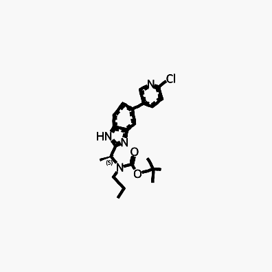 CCCN(C(=O)OC(C)(C)C)[C@@H](C)c1nc2cc(-c3ccc(Cl)nc3)ccc2[nH]1